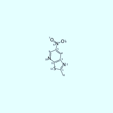 Cc1nc2cc([N+](=O)[O-])cnc2s1